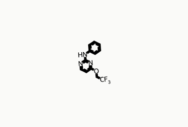 FC(F)(F)COc1ccnc(Nc2ccccc2)n1